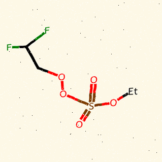 CCOS(=O)(=O)OOCC(F)F